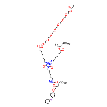 C=CC(=O)OCCOCCOCCOCCOCCOCCOCCOOC(=O)CCCCCCCNC(=O)N(CCCCCCNC(=O)OC(CCCCCCCCCCCC)COc1ccc([I+]c2ccccc2)cc1)C(=O)NCCCCCCCC(=O)OC(CC)CCCCCCCCCCCC